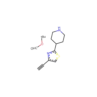 C#Cc1csc(C2CCNCC2)n1.CC(C)(C)OC=O